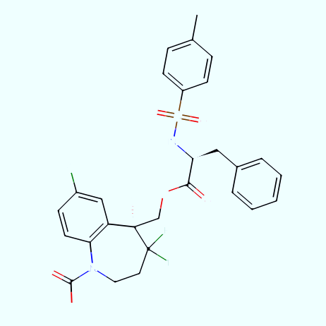 Cc1ccc(S(=O)(=O)N[C@@H](Cc2ccccc2)C(=O)OC[C@]2(O)c3cc(Cl)ccc3N(C(=O)O)CCC2(F)F)cc1